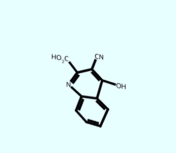 N#Cc1c(C(=O)O)nc2ccccc2c1O